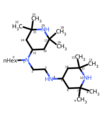 CCCCCCN(CCNC1CC(C)(C)NC(C)(C)C1)C1CC(C)(C)NC(C)(C)C1